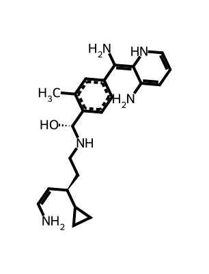 Cc1cc(/C(N)=C2/NC=CC=C2N)ccc1[C@@H](O)NCC[C@H](/C=C\N)C1CC1